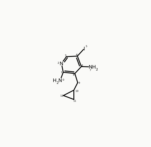 Nc1ncc(I)c(N)c1CC1CC1